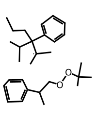 CC(COOC(C)(C)C)c1ccccc1.CCCC([C](C)C)(c1ccccc1)C(C)C